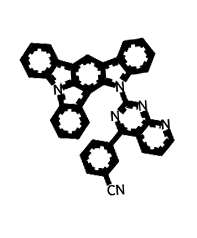 N#Cc1cccc(-c2nc(-n3c4ccccc4c4cc5c6ccccc6n6c7ccccc7c(c43)c56)nc3ncccc23)c1